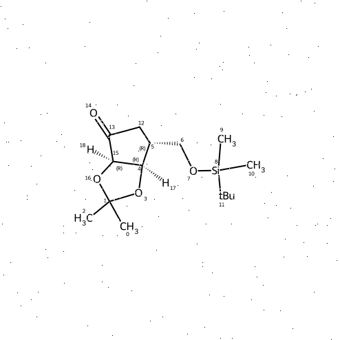 CC1(C)O[C@@H]2[C@@H](CO[Si](C)(C)C(C)(C)C)CC(=O)[C@@H]2O1